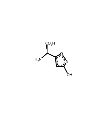 N[C@@H](C(=O)O)c1cc(O)no1